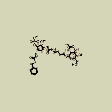 CO[C@H]1C(OP(=O)(O)OC)[C@@H](COC(=O)OCc2ccccc2)C[C@H]1NC(=O)NCCCCO[C@@H]1O[C@H](CO)[C@H](O)[C@H](O)[C@H]1NC(C)=O